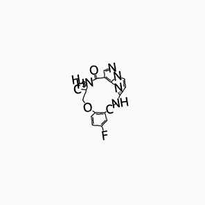 CC1COc2ccc(F)cc2CNc2ccn3ncc(c3n2)C(=O)N1